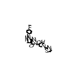 O=c1c2cnn(-c3ccc(F)cc3)c2ncn1CC1(O)CCN(c2nccs2)CC1